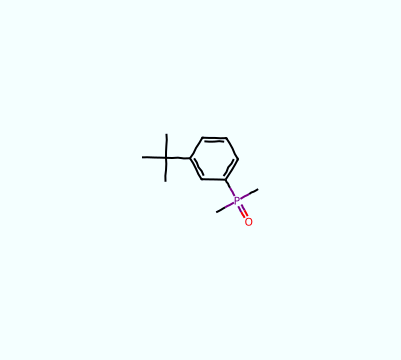 CC(C)(C)c1cccc(P(C)(C)=O)c1